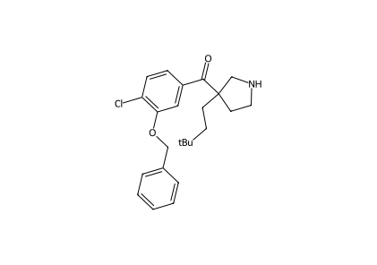 CC(C)(C)CCC1(C(=O)c2ccc(Cl)c(OCc3ccccc3)c2)CCNC1